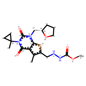 Cc1c(CNNC(=O)OC(C)(C)C)sc2c1c(=O)n(C1(C)CC1)c(=O)n2C[C@@H]1CCCO1